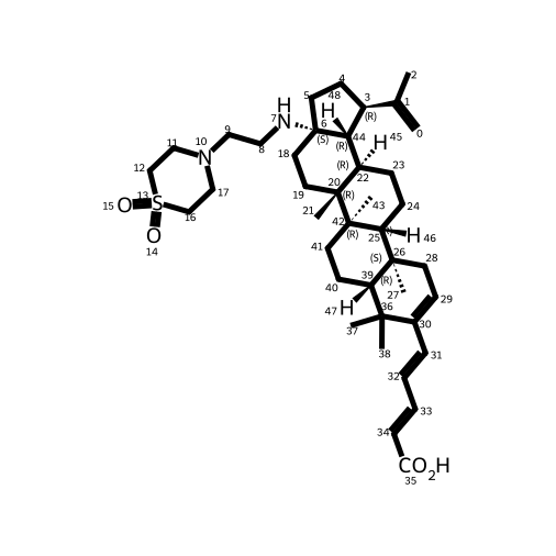 C=C(C)[C@@H]1CC[C@]2(NCCN3CCS(=O)(=O)CC3)CC[C@]3(C)[C@H](CC[C@@H]4[C@@]5(C)CC=C(C=CC=CC(=O)O)C(C)(C)[C@@H]5CC[C@]43C)[C@@H]12